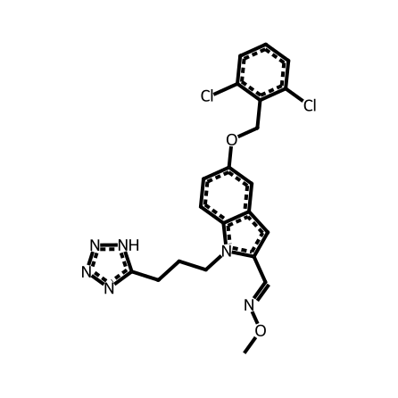 CON=Cc1cc2cc(OCc3c(Cl)cccc3Cl)ccc2n1CCCc1nnn[nH]1